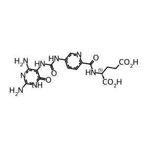 Nc1nc(N)c(NC(=O)Nc2ccc(C(=O)N[C@@H](CCC(=O)O)C(=O)O)nc2)c(=O)[nH]1